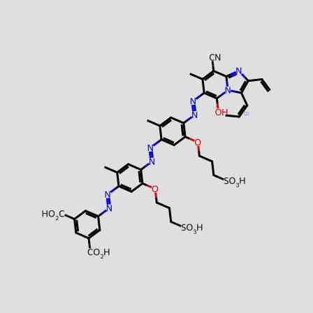 C=Cc1nc2c(C#N)c(C)c(N=Nc3cc(C)c(N=Nc4cc(C)c(N=Nc5cc(C(=O)O)cc(C(=O)O)c5)cc4OCCCS(=O)(=O)O)cc3OCCCS(=O)(=O)O)c(O)n2c1/C=C\C